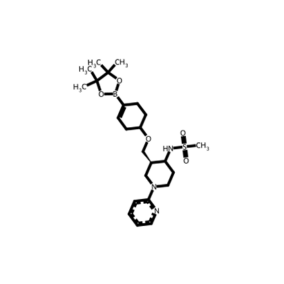 CC1(C)OB(C2=CCC(OC[C@@H]3CN(c4ccccn4)CCC3NS(C)(=O)=O)CC2)OC1(C)C